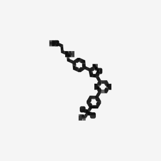 CC(C)S(=O)(=O)c1ccc(-c2cncc(-c3cc(-c4ccc(CNCCO)cc4)no3)n2)cc1